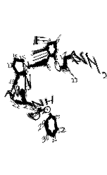 C[C@H](c1cc(F)ccc1O[C@@H](C)CN)N1CCCc2cn3ncc(NC(=O)Oc4ccccc4)c3nc21